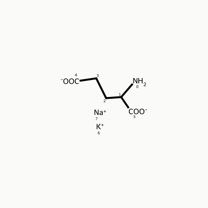 NC(CCC(=O)[O-])C(=O)[O-].[K+].[Na+]